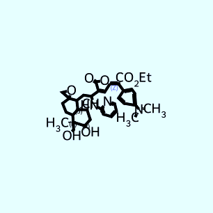 CCOC(=O)/C(=C1/C=C(C(CC2C3(CCC4[C@]2(C)CC[C@@H](O)[C@@]4(C)CO)CO3)Nc2ccccn2)C(=O)O1)c1ccc(N(C)C)cc1